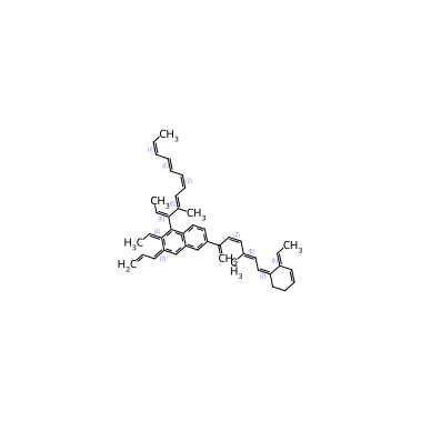 C=C/C=c1/cc2cc(C(=C)\C=C/C(C)=C/C=C3/CCC=C/C3=C\C)ccc2c(C(=C/C)/C(C)=C/C=C\C=C\C=C/C)/c1=C/C